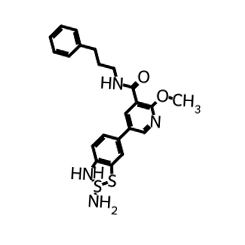 COc1ncc(-c2ccc3c(c2)S[SH](N)N3)cc1C(=O)NCCCc1ccccc1